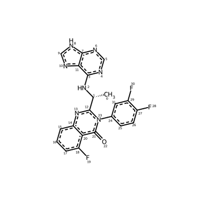 C[C@@H](Nc1ncnc2[nH]cnc12)c1nc2cccc(F)c2c(=O)n1-c1ccc(F)c(F)c1